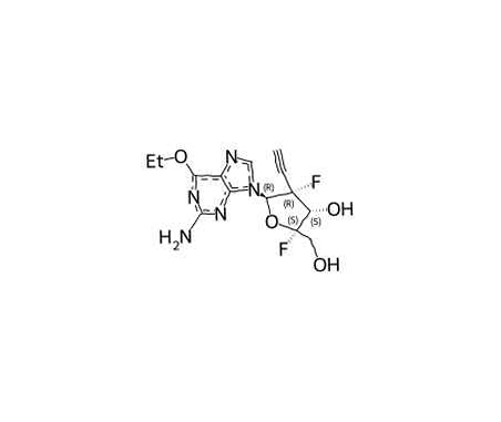 C#C[C@]1(F)[C@H](n2cnc3c(OCC)nc(N)nc32)O[C@](F)(CO)[C@H]1O